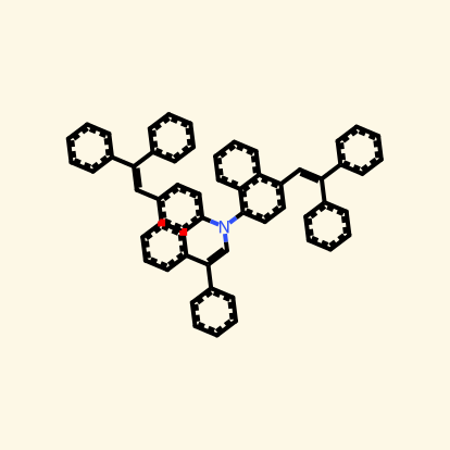 C(=C(c1ccccc1)c1ccccc1)c1ccc(N(C=C(c2ccccc2)c2ccccc2)c2ccc(C=C(c3ccccc3)c3ccccc3)c3ccccc23)cc1